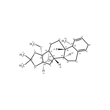 CC[C@@]12OC(C)(C)O[C@@H]1C[C@H]1[C@@H]3CCC4=CCC=C[C@]4(C)[C@@]3(F)CC[C@@]12C